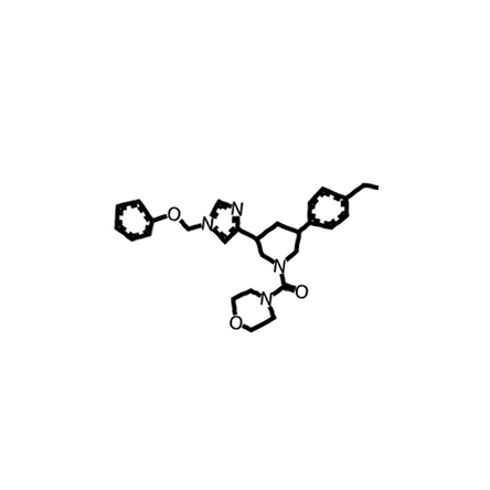 CCc1ccc(C2CC(c3cn(COc4ccccc4)cn3)CN(C(=O)N3CCOCC3)C2)cc1